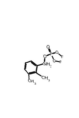 Cc1cccc([SiH2]OP(=O)(OF)OF)c1C